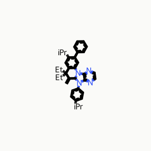 C=C1C2N(c3ccc(C(C)C)cc3)c3nccnc3N2c2cc(-c3ccccc3)c(C(C)C)cc2C1(CC)CC